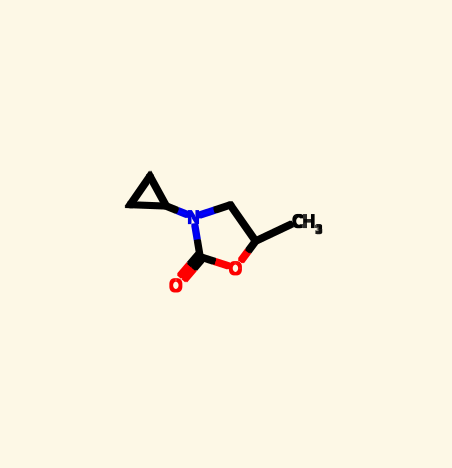 CC1CN(C2CC2)C(=O)O1